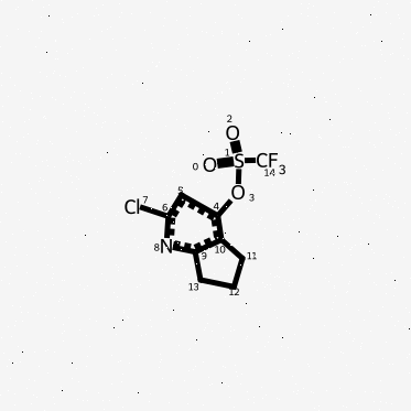 O=S(=O)(Oc1cc(Cl)nc2c1CCC2)C(F)(F)F